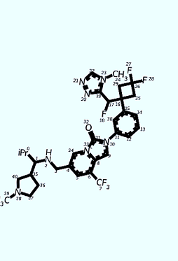 CC(C)C(NCc1cc(C(F)(F)F)c2cn(-c3cccc(C4(C(F)c5nncn5C)CC(F)(F)C4)c3)c(=O)n2c1)C1CCN(C)C1